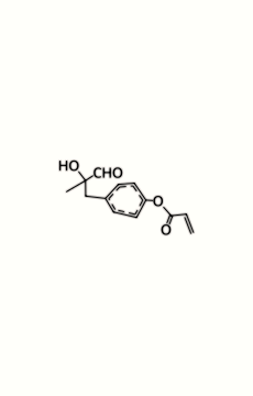 C=CC(=O)Oc1ccc(CC(C)(O)C=O)cc1